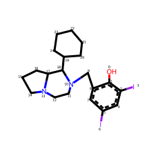 Oc1c(I)cc(I)cc1CN1CCN2CCCC2C1C1CCCCC1